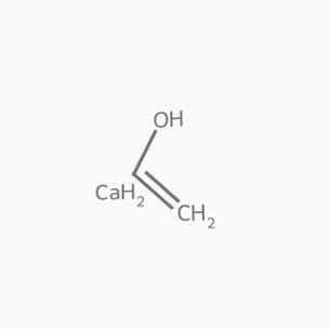 C=CO.[CaH2]